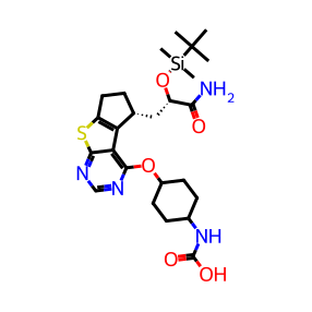 CC(C)(C)[Si](C)(C)O[C@@H](C[C@H]1CCc2sc3ncnc(OC4CCC(NC(=O)O)CC4)c3c21)C(N)=O